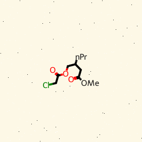 CCCC(COC(=O)CCl)CC(=O)OC